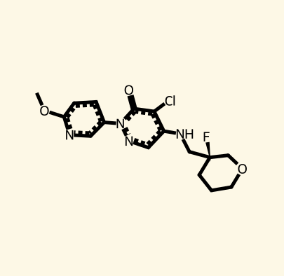 COc1ccc(-n2ncc(NC[C@@]3(F)CCCOC3)c(Cl)c2=O)cn1